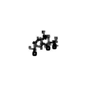 CC(=O)c1ccc2c(c1)c(=O)c([S+](C)[O-])cn2C